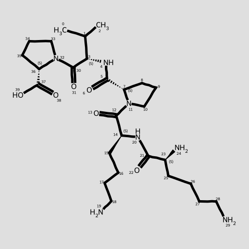 CC(C)[C@H](NC(=O)[C@@H]1CCCN1C(=O)[C@H](CCCCN)NC(=O)[C@@H](N)CCCCN)C(=O)N1CCC[C@H]1C(=O)O